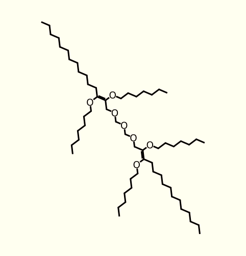 CCCCCCCCCCCCC(OCCCCCCC)=C(COCOCOCC(OCCCCCCC)=C(CCCCCCCCCCCC)OCCCCCCC)OCCCCCCC